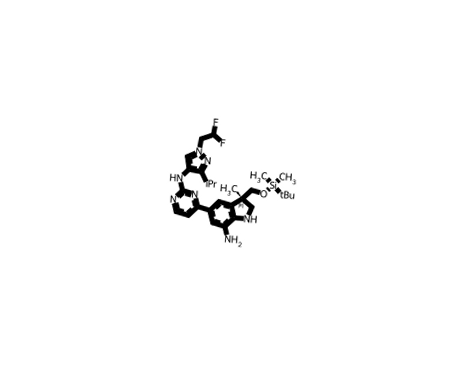 CC(C)c1nn(CC(F)F)cc1Nc1nccc(-c2cc(N)c3c(c2)[C@@](C)(CO[Si](C)(C)C(C)(C)C)CN3)n1